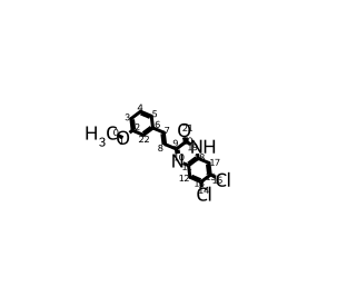 COc1cccc(C=Cc2nc3cc(Cl)c(Cl)cc3[nH]c2=O)c1